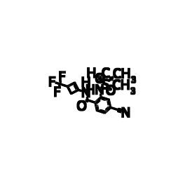 CC(C)(C)S(=O)(=O)Nc1cc(C#N)ccc1C(=O)NC1=CC(C(F)(F)F)C1